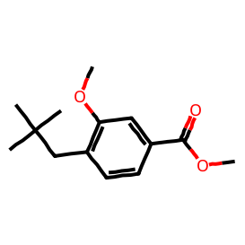 COC(=O)c1ccc(CC(C)(C)C)c(OC)c1